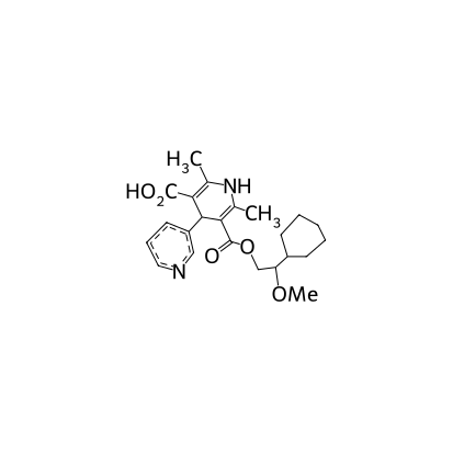 COC(COC(=O)C1=C(C)NC(C)=C(C(=O)O)C1c1cccnc1)C1CCCCC1